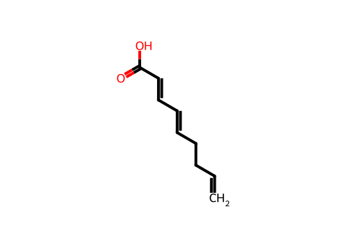 C=CCC/C=C/C=C/C(=O)O